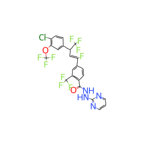 O=C(NNc1ncccn1)c1ccc(/C(F)=C/C(c2ccc(Cl)c(OC(F)(F)F)c2)C(F)(F)F)cc1C(F)(F)F